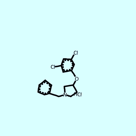 Cl.Clc1cc(Cl)cc(OC2CCN(Cc3ccccc3)C2)c1